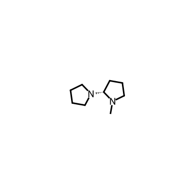 CN1CCC[C@H]1N1CCCC1